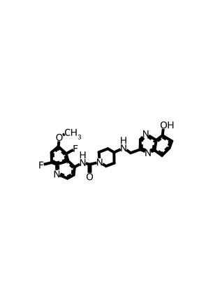 COc1cc(F)c2nccc(NC(=O)N3CCC(NCc4cnc5c(O)cccc5n4)CC3)c2c1F